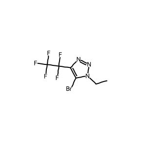 CCn1nnc(C(F)(F)C(F)(F)F)c1Br